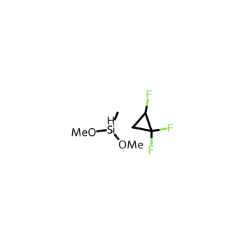 CO[SiH](C)OC.FC1CC1(F)F